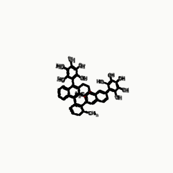 Cc1cc2cc(-c3c(O)c(O)c(O)c(O)c3O)ccc2cc1C1=C(c2c3c(c(-c4c(O)c(O)c(O)c(O)c4O)c4ccccc24)CCC=C3)C=CCC1C